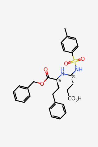 Cc1ccc(S(=O)(=O)N[C@H](CCC(=O)O)N[C@@H](CCc2ccccc2)C(=O)OCc2ccccc2)cc1